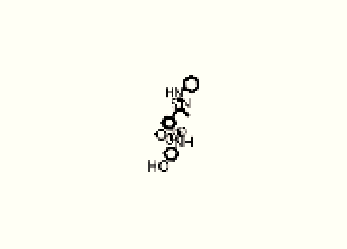 COc1ccc(-c2sc(NC3CCCCC3)nc2C)cc1S(=O)(=O)N[C@H]1CC[C@H](O)CC1